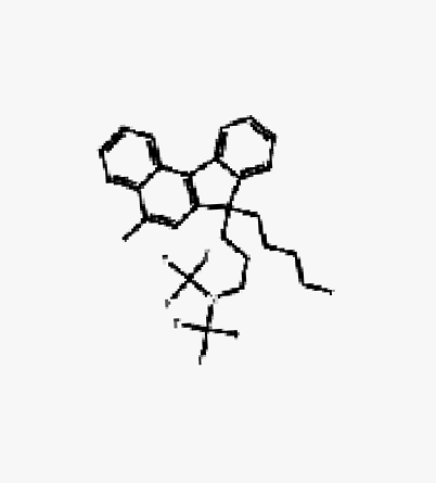 CCCCCC1(CCCN(C(F)(F)F)C(F)(F)F)c2ccccc2-c2c1cc(C)c1ccccc21